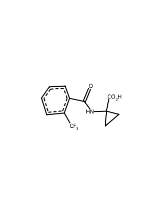 O=C(NC1(C(=O)O)CC1)c1ccccc1C(F)(F)F